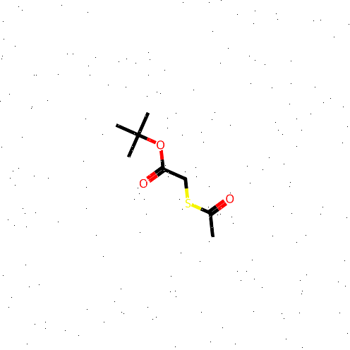 CC(=O)SCC(=O)OC(C)(C)C